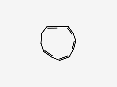 [C]1=CC=CCCC=CC=CC=C1